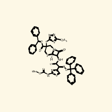 Cc1nnc(SC2(C(=O)OC(c3ccccc3)c3ccccc3)CS[C@@H]3C(NC(=O)C(=NOC(c4ccccc4)(c4ccccc4)c4ccccc4)c4csc(NC(=O)OC(C)(C)C)n4)C(=O)N3C2)s1